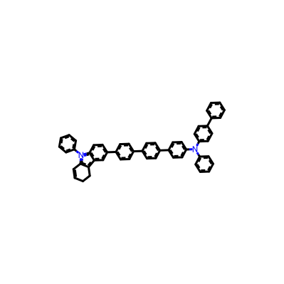 C1=Cc2c(c3cc(-c4ccc(-c5ccc(-c6ccc(N(c7ccccc7)c7ccc(-c8ccccc8)cc7)cc6)cc5)cc4)ccc3n2-c2ccccc2)CC1